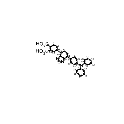 O=C(O)c1ccc(-c2ccc(-c3ccc(N(c4ccccc4)c4ccccc4)cc3)c3nsnc23)cc1C(=O)O